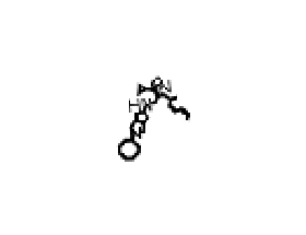 C=C(/C=C\C=C/C)c1noc(C2CC2)c1CNC1CC2CN(C3CCCCCCC3)CC2C1